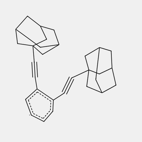 C(#CC12CC3CC(CC(C3)C1)C2)c1c[c]ccc1C#CC12CC3CC(CC(C3)C1)C2